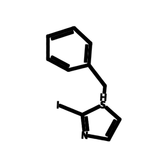 IC1=NC=C[SH]1Cc1ccccc1